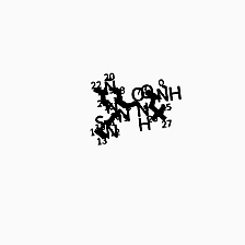 CNC(=O)[C@@H](NC(=O)c1nc(-c2nccs2)n2c1CN(C)C(C)C2)C(C)(C)C